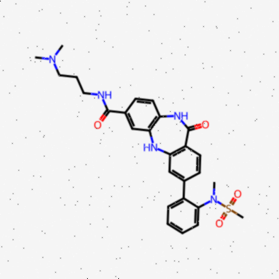 CN(C)CCCNC(=O)c1ccc2c(c1)Nc1cc(-c3ccccc3N(C)S(C)(=O)=O)ccc1C(=O)N2